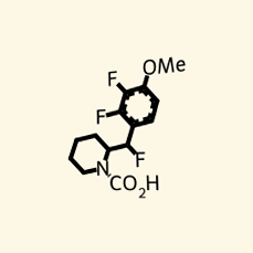 COc1ccc(C(F)C2CCCCN2C(=O)O)c(F)c1F